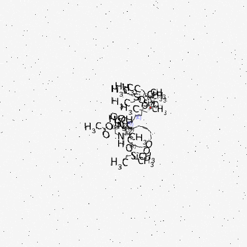 CC[C@H](O[Si](CC)(CC)CC)[C@@H](C)[C@H]1O[C@@H]1CC(C)(/C=C/C=C(\C)[C@@]1([C@@]2(C)CC=CCCOC(=O)C[C@H](O[Si](CC)(CC)CC)CC2)[C@H](C)NC[C@H](OC(C)=O)N1C(=O)O)O[Si](CC)(CC)CC